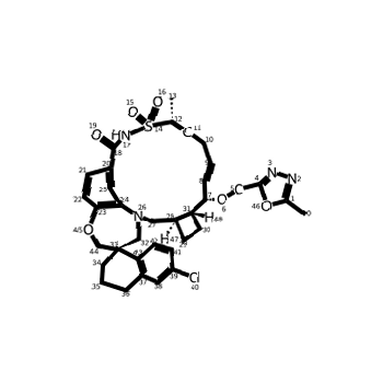 Cc1nnc(CO[C@H]2/C=C/CC[C@@H](C)S(=O)(=O)NC(=O)c3ccc4c(c3)N(C[C@@H]3CC[C@H]32)C[C@@]2(CCCc3cc(Cl)ccc32)CO4)o1